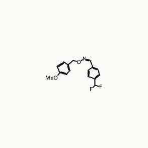 COc1ccc(CO/N=[C]\c2ccc(C(F)F)cc2)cc1